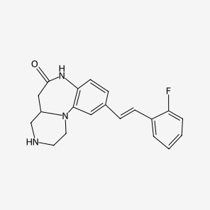 O=C1CC2CNCCN2c2cc(/C=C/c3ccccc3F)ccc2N1